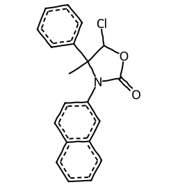 CC1(c2ccccc2)C(Cl)OC(=O)N1c1ccc2ccccc2c1